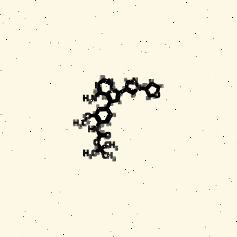 COc1cc(-c2cc(-c3cnn(C4CCOC4)c3)n3ncnc(N)c23)ccc1NC(=O)OC(C)(C)C